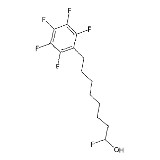 OC(F)CCCCCCCc1c(F)c(F)c(F)c(F)c1F